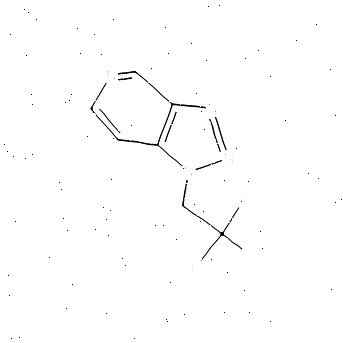 FC(F)(F)Cn1nnc2cnccc21